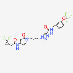 O=C(CC1CC1(F)F)Nc1ccn(CCCCn2cc(C(=O)NCc3cccc(OC(F)(F)F)c3)nn2)c(=O)c1